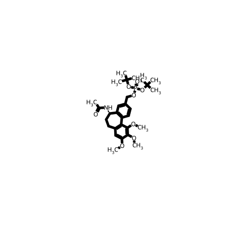 COc1cc2c(c(OC)c1OC)-c1ccc(COP(=O)(OC(C)(C)C)OC(C)(C)C)cc1[C@@H](NC(C)=O)CC2